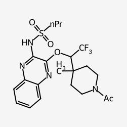 CCCS(=O)(=O)Nc1nc2ccccc2nc1OC(C(F)(F)F)C1(C)CCN(C(C)=O)CC1